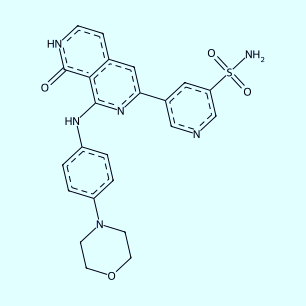 NS(=O)(=O)c1cncc(-c2cc3cc[nH]c(=O)c3c(Nc3ccc(N4CCOCC4)cc3)n2)c1